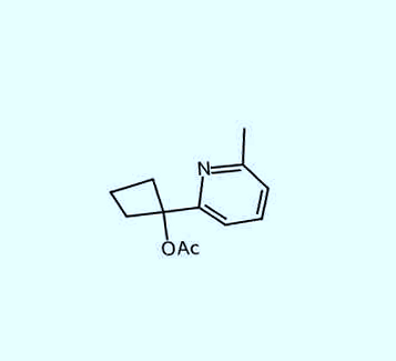 CC(=O)OC1(c2cccc(C)n2)CCC1